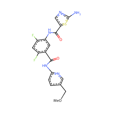 COCc1ccc(NC(=O)c2cc(NC(=O)c3cnc(N)s3)c(F)cc2F)nc1